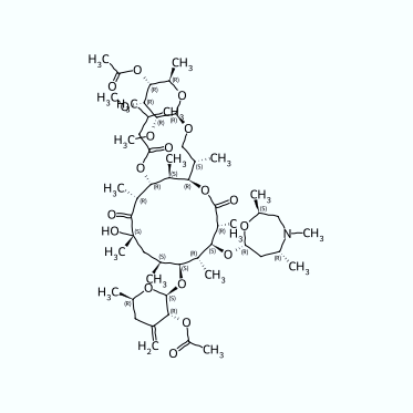 C=C1C[C@@H](C)O[C@@H](O[C@@H]2[C@@H](C)[C@H](O[C@H]3C[C@@H](C)N(C)C[C@H](C)O3)[C@@H](C)C(=O)O[C@H]([C@@H](C)CO[C@@H]3O[C@H](C)[C@@H](OC(C)=O)[C@@H](OC)[C@H]3OC)[C@H](C)[C@@H](OC(=O)CC(C)C)[C@@H](C)C(=O)[C@@](C)(O)C[C@@H]2C)[C@@H]1OC(C)=O